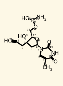 C#CC[C@]1(O)C[C@H](n2cc(C)c(=O)[nH]c2=O)O[C@@H]1COP(N)O